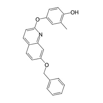 Cc1cc(Oc2ccc3ccc(OCc4ccccc4)cc3n2)ccc1O